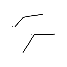 C[CH]C.[CH2]CC